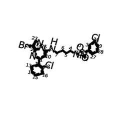 O=S(=O)(NCCCCNc1cc(-c2ccccc2Cl)nc2c(Br)cnn12)c1cccc(Cl)c1